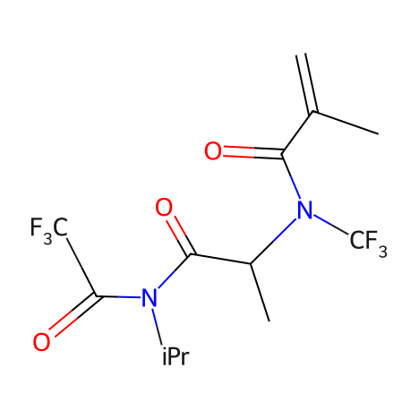 C=C(C)C(=O)N(C(C)C(=O)N(C(=O)C(F)(F)F)C(C)C)C(F)(F)F